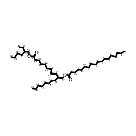 CCCCCCCCCCCCCCCCCC(=O)OCC(C=CCCCCCCC(=O)OCC(CC)CCCC)CCCCCCCC